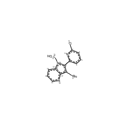 CC(C)(C)c1c(-c2cccc(Cl)n2)n(C(=O)O)c2cccnc12